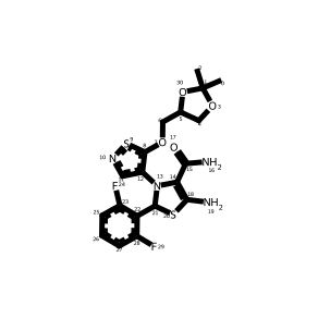 CC1(C)OCC(COc2sncc2N2C(C(N)=O)=C(N)SC2c2c(F)cccc2F)O1